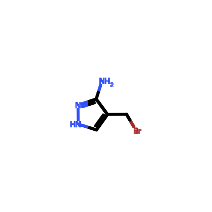 Nc1n[nH]cc1CBr